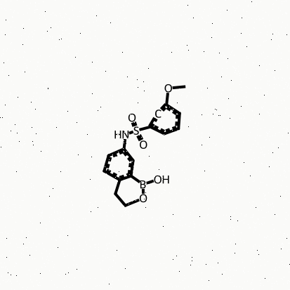 COc1cccc(S(=O)(=O)Nc2ccc3c(c2)B(O)OCC3)c1